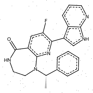 C[C@@H](c1ccccc1)N1CCNC(=O)c2cc(F)c(-c3c[nH]c4ncccc34)nc21